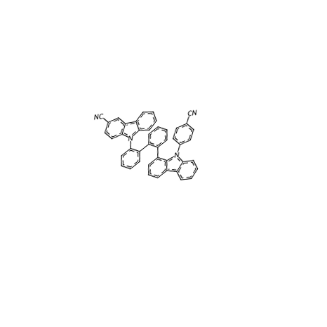 N#Cc1ccc(-n2c3ccccc3c3cccc(-c4ccccc4-c4ccccc4-n4c5ccccc5c5cc(C#N)ccc54)c32)cc1